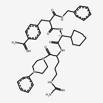 N=C(N)NCCCC(NC(=O)[C@@H](NC(=O)C(Cc1ccc(C(=N)N)cc1)C(=O)NCc1ccccc1)C1CCCCC1)C(=O)N1CCN(c2ccccc2)CC1